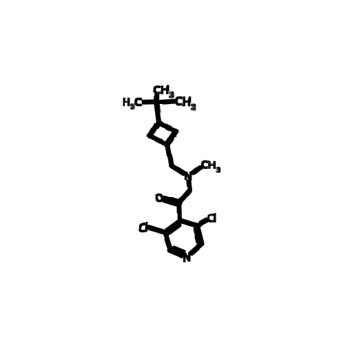 CN(CC(=O)c1c(Cl)cncc1Cl)CC1CC(C(C)(C)C)C1